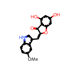 COc1ccc2[nH]cc(/C=C3/Oc4cc(O)cc(O)c4C3=O)c2c1